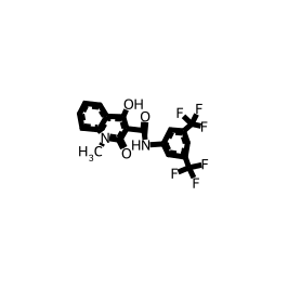 Cn1c(=O)c(C(=O)Nc2cc(C(F)(F)F)cc(C(F)(F)F)c2)c(O)c2ccccc21